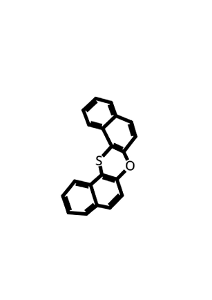 c1ccc2c3c(ccc2c1)Oc1ccc2ccccc2c1S3